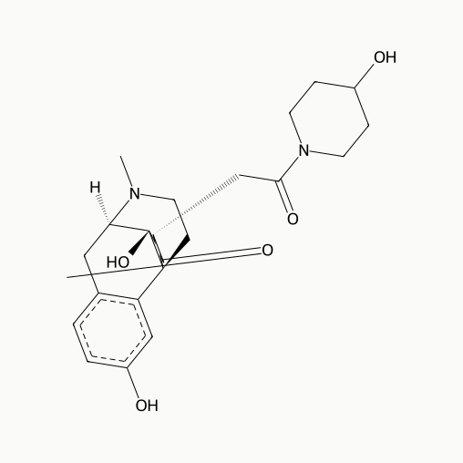 CN1CC[C@]23CC(=O)[C@@H](CC(=O)N4CCC(O)CC4)C[C@@]2(O)[C@H]1Cc1ccc(O)cc13